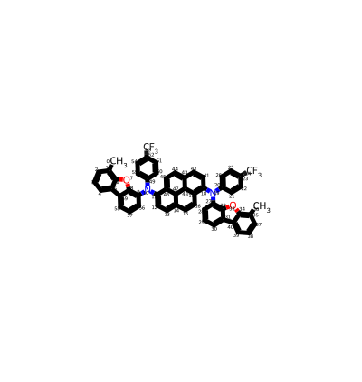 Cc1cccc2c1oc1c(N(C3=CC=C4C=CC5=C(N(c6ccc(C(F)(F)F)cc6)c6cccc7c6oc6c(C)cccc67)C=CC6=CC=C3C4C65)c3ccc(C(F)(F)F)cc3)cccc12